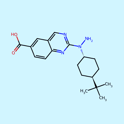 CC(C)(C)[C@H]1CC[C@H](N(N)c2ncc3cc(C(=O)O)ccc3n2)CC1